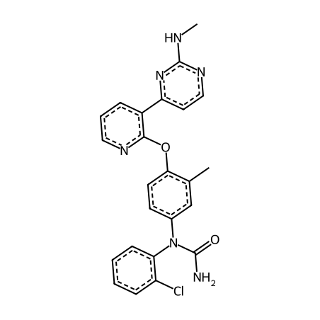 CNc1nccc(-c2cccnc2Oc2ccc(N(C(N)=O)c3ccccc3Cl)cc2C)n1